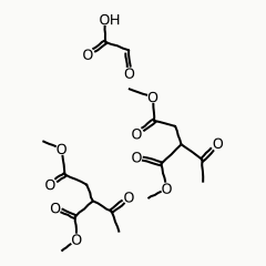 COC(=O)CC(C(C)=O)C(=O)OC.COC(=O)CC(C(C)=O)C(=O)OC.O=CC(=O)O